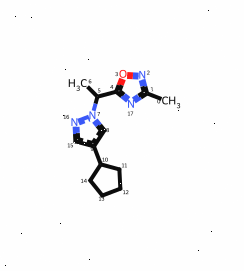 Cc1noc(C(C)n2cc(C3CCCC3)cn2)n1